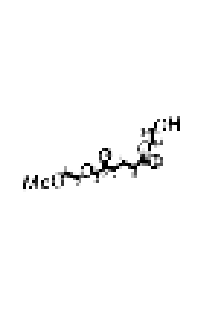 COCCOCC(=O)CCCC(=O)OCCO